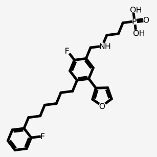 O=P(O)(O)CCCNCc1cc(-c2ccoc2)c(CCCCCCc2ccccc2F)cc1F